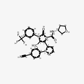 Cc1c(-c2ccnn2-c2ccc(C#N)cc2)n(C(=O)N[C@@H]2CCOC2)c(=O)n1-c1cccc(C(F)(F)F)c1